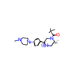 C[C@@H]1CN[C@@H](c2ccc(N3CCN(C)CC3)cc2)CN1C(=O)C(C)(C)C